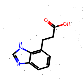 O=C(O)CCc1cccc2nc[nH]c12